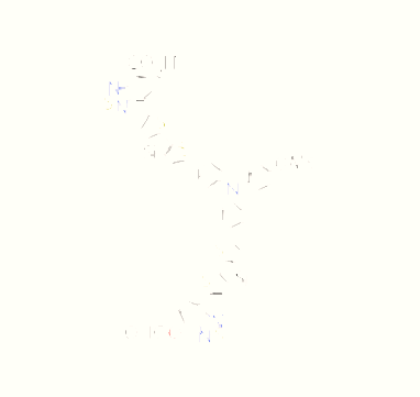 COc1ccc(N(c2ccc(-c3cc4c(s3)-c3sc(-c5ccc(OC=O)c6nsnc56)cc3[Si]4(C)C)cc2)c2ccc(-c3cc4c(s3)-c3sc(-c5ccc(C(=O)O)c6nsnc56)cc3[Si]4(C)C)cc2)cc1